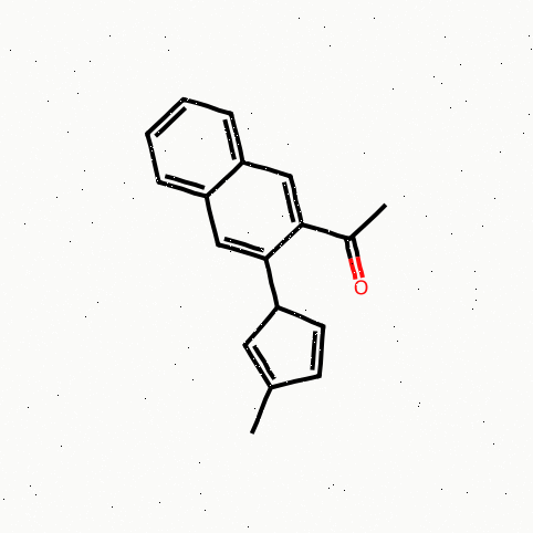 CC(=O)c1cc2ccccc2cc1C1C=CC(C)=C1